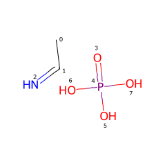 CC=N.O=P(O)(O)O